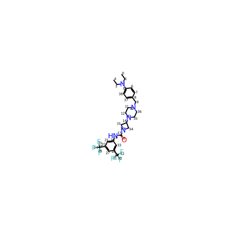 CCN(CC)c1ccc(CN2CCN(C3CN(C(=O)Nc4cc(C(F)(F)F)cc(C(F)(F)F)c4)C3)CC2)cc1